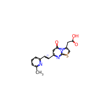 Cc1cccc(/C=C/c2cc(=O)n3c(CC(=O)O)csc3n2)n1